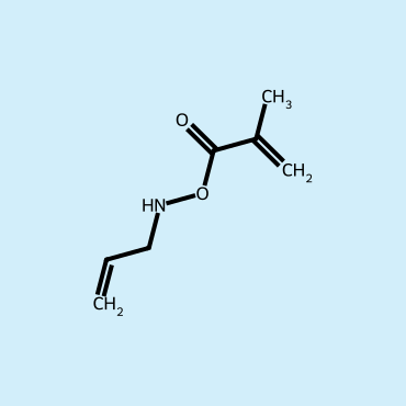 C=CCNOC(=O)C(=C)C